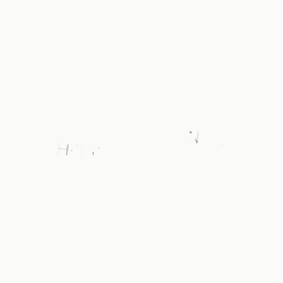 O=C(O)c1ccc(N2CC2)cc1